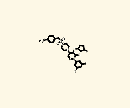 Nc1ccc(CS(=O)(=O)N2CCN(c3cnn(-c4cc(F)cc(F)c4)c(=O)c3OC3CCC(F)C3)CC2)cc1